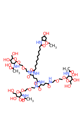 CCO[C@@H]1C[C@@H](O)C[C@@H]1NC(=O)CCCCCCCCCCC(=O)NC(CCC(=O)NC(CCC(=O)NCCOCCOC1OC(CO)C(O)C(O)C1NC(C)=O)C(=O)NCCOCCOC1OC(CO)C(O)C(O)C1NC(C)=O)C(=O)NCCOCCOC1OC(CO)C(O)C(O)C1NC(C)=O